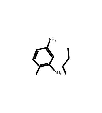 CCCC.Cc1ccc(N)cc1N